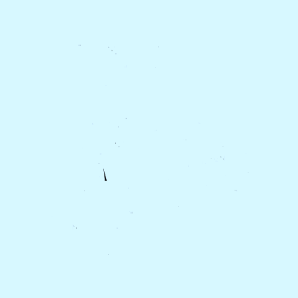 O=[N+]([O-])c1cc([C@H]2CC[C@H](c3ccc(Cl)c([N+](=O)[O-])c3)N2c2cc(F)c(N3CC4CCC3CC4)c(F)c2)ccc1Cl